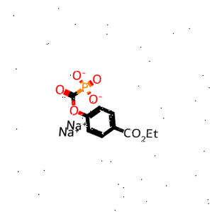 CCOC(=O)c1ccc(OC(=O)P(=O)([O-])[O-])cc1.[Na+].[Na+]